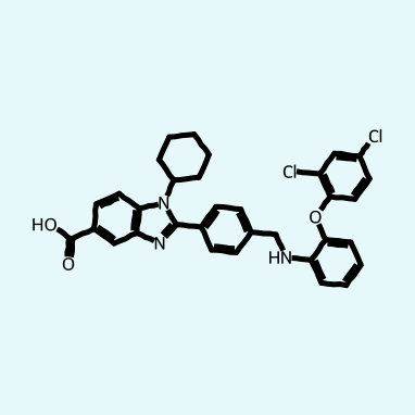 O=C(O)c1ccc2c(c1)nc(-c1ccc(CNc3ccccc3Oc3ccc(Cl)cc3Cl)cc1)n2C1CCCCC1